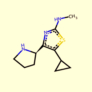 CNc1nc([C@H]2CCCN2)c(C2CC2)s1